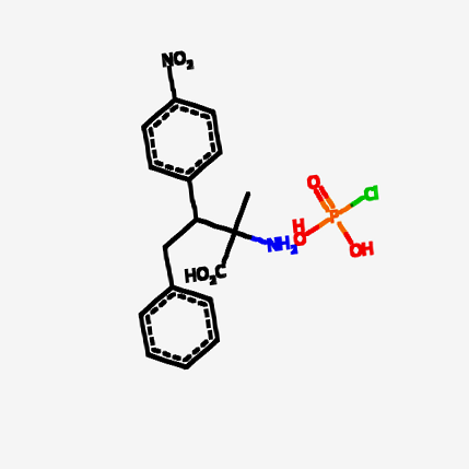 CC(N)(C(=O)O)C(Cc1ccccc1)c1ccc([N+](=O)[O-])cc1.O=P(O)(O)Cl